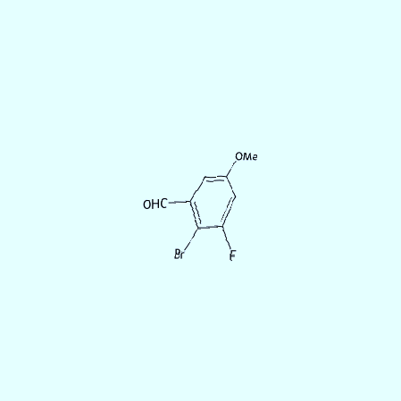 COc1cc(F)c(Br)c(C=O)c1